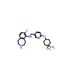 CC1(C)CCC(Oc2ccc(CNc3c(Cl)ccc4c3CCNCC4)cn2)CC1